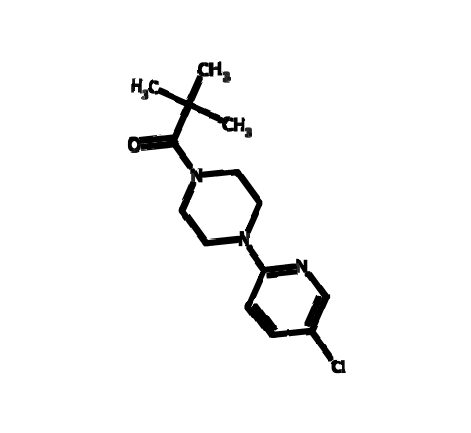 CC(C)(C)C(=O)N1CCN(c2ccc(Cl)cn2)CC1